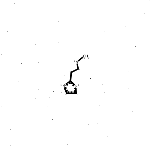 C[N]CCc1nccs1